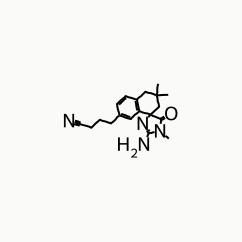 CN1C(=O)C2(CC(C)(C)Cc3ccc(CCCC#N)cc32)N=C1N